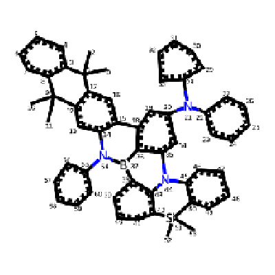 CC1(C)c2ccccc2C(C)(C)c2cc3c(cc21)-c1cc(N(c2ccccc2)c2ccccc2)cc2c1B(c1cccc4c1N2c1ccccc1[Si]4(C)C)N3c1ccccc1